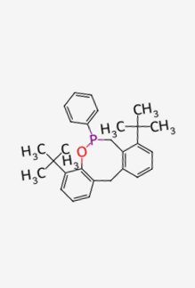 CC(C)(C)c1cccc2c1CP(c1ccccc1)Oc1c(cccc1C(C)(C)C)C2